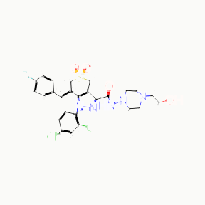 O=C(NN1CCN(CCO)CC1)c1nn(-c2ccc(Cl)cc2Cl)c2c1CS(=O)(=O)C/C2=C\c1ccc(F)cc1